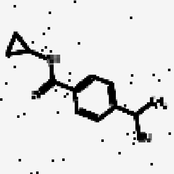 CC(c1ccc(C(=O)NC2CC2)cc1)C(C)(C)C